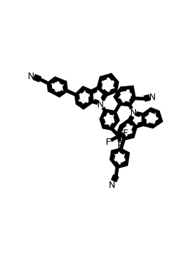 N#Cc1ccc(-c2ccc3c(c2)c2ccccc2n3-c2ccc(C(F)(F)F)cc2-c2cccc(C#N)c2-n2c3ccccc3c3cc(-c4ccc(C#N)cc4)ccc32)cc1